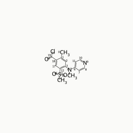 Cc1cc(N(C)c2ccncc2)c(S(C)(=O)=O)cc1C(=O)Cl